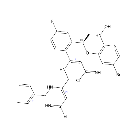 C=C/C(=C\C)CN/C(=C\C(=N)CC)CN/C(=C\C(=N)Cl)c1ccc(F)cc1[C@@H](C)Oc1cc(Br)cnc1NO